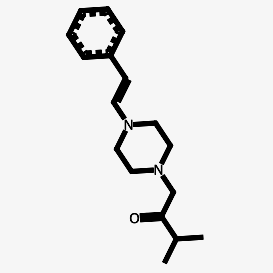 CC(C)C(=O)CN1CCN(/C=C/c2ccccc2)CC1